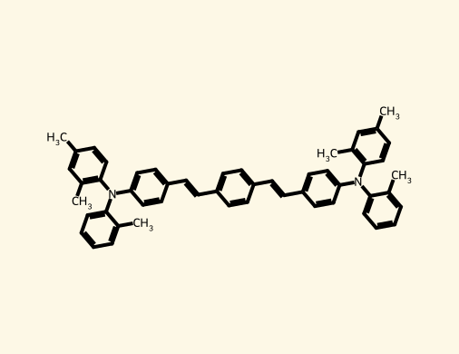 Cc1ccc(N(c2ccc(C=Cc3ccc(C=Cc4ccc(N(c5ccccc5C)c5ccc(C)cc5C)cc4)cc3)cc2)c2ccccc2C)c(C)c1